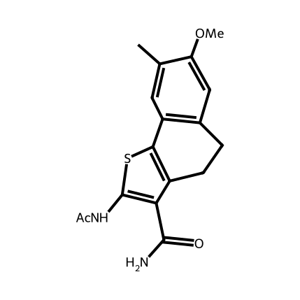 COc1cc2c(cc1C)-c1sc(NC(C)=O)c(C(N)=O)c1CC2